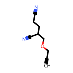 C#CCOCC(C#N)CCC#N